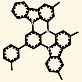 Cc1ccc2c(c1)c1cc(C)cc3c1n2-c1cc(-c2cccc(F)c2)cc2c1B3c1cc(C)cc3c4ccccc4n-2c13